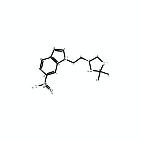 CC1(C)OC[C@H](CCn2ccc3ccc([N+](=O)[O-])cc32)O1